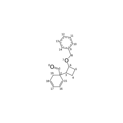 O=CC1(C2CCC2OCc2ccccc2)C=CC=CC1